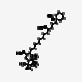 CC(C)(C)C(CC(CCCCCCCCCC(CCCC1(OO)CCCCC1)OO)OO)C(C)(C)C